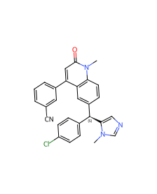 Cn1cncc1[C@@H](c1ccc(Cl)cc1)c1ccc2c(c1)c(-c1cccc(C#N)c1)cc(=O)n2C